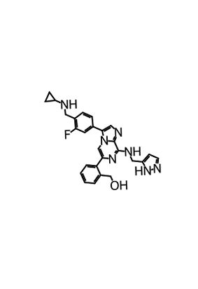 OCc1ccccc1-c1cn2c(-c3ccc(CNC4CC4)c(F)c3)cnc2c(NCc2ccn[nH]2)n1